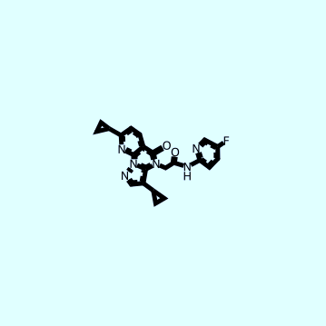 O=C(Cn1c(=O)c2ccc(C3CC3)nc2n2ncc(C3CC3)c12)Nc1ccc(F)cn1